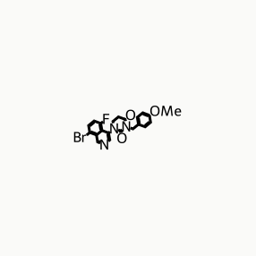 COc1ccc(CN2C(=O)CCN(c3cncc4c(Br)ccc(F)c34)C2=O)cc1